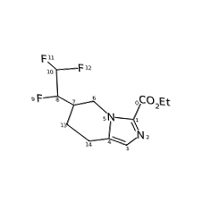 CCOC(=O)c1ncc2n1CC(C(F)C(F)F)CC2